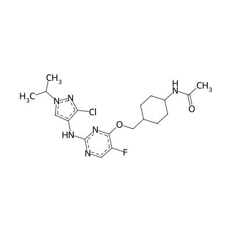 CC(=O)NC1CCC(COc2nc(Nc3cn(C(C)C)nc3Cl)ncc2F)CC1